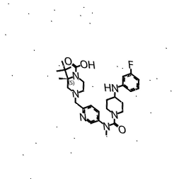 CN(C(=O)N1CCC(Nc2cccc(F)c2)CC1)c1ccc(CN2CCN(C(=O)O)[C@@](C)(C(C)(C)C)C2)nc1